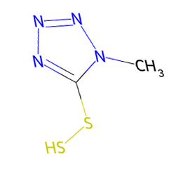 Cn1nnnc1SS